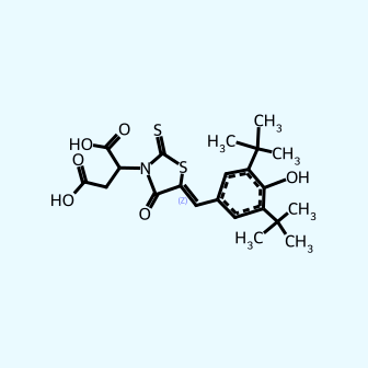 CC(C)(C)c1cc(/C=C2\SC(=S)N(C(CC(=O)O)C(=O)O)C2=O)cc(C(C)(C)C)c1O